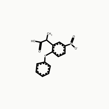 CC(C(=O)O)c1cc([N+](=O)[O-])ccc1Sc1ccccc1